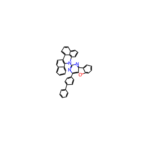 c1ccc(-c2ccc(-c3nc(N4c5c(ccc6ccccc56)-c5cccc6cccc4c56)nc4c3oc3ccccc34)cc2)cc1